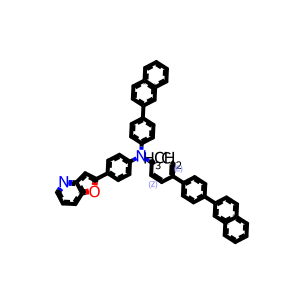 C=C(/C=C\C(=C/C)c1ccc(-c2ccc3ccccc3c2)cc1)N(c1ccc(-c2ccc3ccccc3c2)cc1)c1ccc(-c2cc3ncccc3o2)cc1